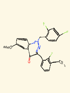 COc1ccc2c(c1)c(=O)c(-c1cccc(C(F)(F)F)c1F)nn2Cc1ccc(F)cc1F